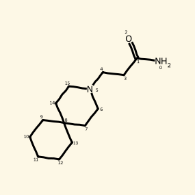 NC(=O)CCN1CCC2(CCCCC2)CC1